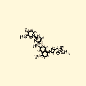 CC(C)c1ccc(N2CC(CS(C)(=O)=O)C2)c2cnc(Nc3ccnc(N4CC[C@H](F)[C@H](O)C4)n3)cc12